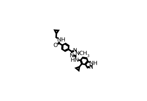 Cn1nc(-c2ccc(C(=O)NCC3CC3)cc2)nc1Nc1ccc2[nH]ncc2c1C1CC1